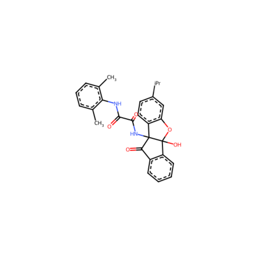 Cc1cccc(C)c1NC(=O)C(=O)NC12C(=O)c3ccccc3C1(O)Oc1cc(C(C)C)ccc12